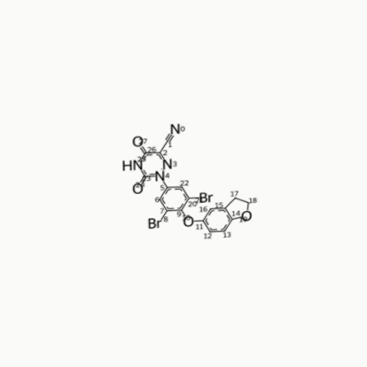 N#Cc1nn(-c2cc(Br)c(Oc3ccc4c(c3)CCO4)c(Br)c2)c(=O)[nH]c1=O